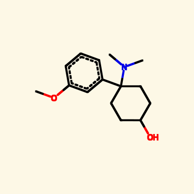 COc1cccc(C2(N(C)C)CCC(O)CC2)c1